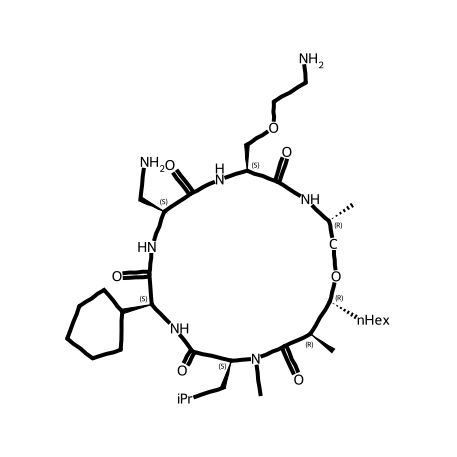 CCCCCC[C@H]1OC[C@@H](C)NC(=O)[C@H](COCCN)NC(=O)[C@H](CN)NC(=O)[C@H](C2CCCCC2)NC(=O)[C@H](CC(C)C)N(C)C(=O)[C@@H]1C